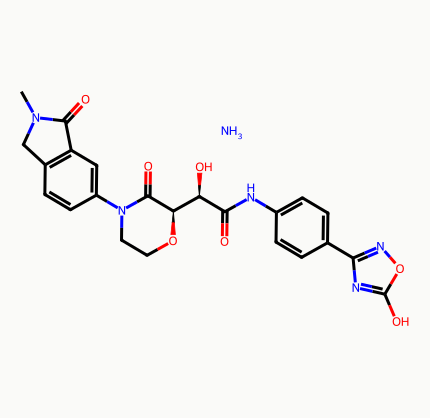 CN1Cc2ccc(N3CCO[C@H]([C@@H](O)C(=O)Nc4ccc(-c5noc(O)n5)cc4)C3=O)cc2C1=O.N